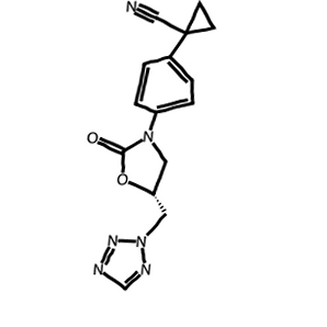 N#CC1(c2ccc(N3C[C@H](Cn4ncnn4)OC3=O)cc2)CC1